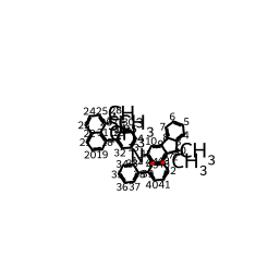 CC1(C)c2ccccc2-c2cc(N(c3cccc(-c4cccc5cccc([Si](C)(C)C)c45)c3)c3ccccc3-c3ccccc3)ccc21